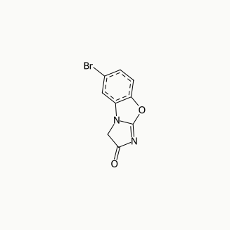 O=C1CN2C(=N1)Oc1ccc(Br)cc12